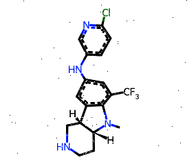 CN1c2c(cc(Nc3ccc(Cl)nc3)cc2C(F)(F)F)[C@H]2CNCC[C@H]21